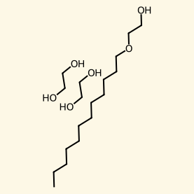 CCCCCCCCCCCCOCCO.OCCO.OCCO